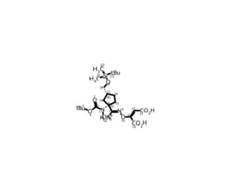 CN(C(=O)OC(C)(C)C)[C@@]1(C(N)=NOC(=CC(=O)O)C(=O)O)CC[C@@H](CO[Si](C)(C)C(C)(C)C)C1